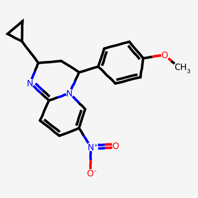 COc1ccc(C2CC(C3CC3)N=C3C=CC([N+](=O)[O-])=CN32)cc1